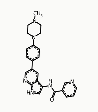 CN1CCN(c2ccc(-c3cnc4[nH]cc(NC(=O)c5cccnc5)c4c3)cc2)CC1